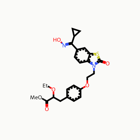 CCOC(Cc1ccc(OCCn2c(=O)sc3cc(C(=NO)C4CC4)ccc32)cc1)C(=O)OC